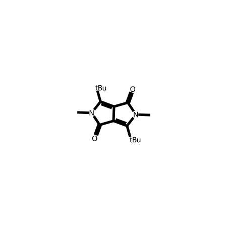 CN1C(=O)C2=C(C(C)(C)C)N(C)C(=O)C2=C1C(C)(C)C